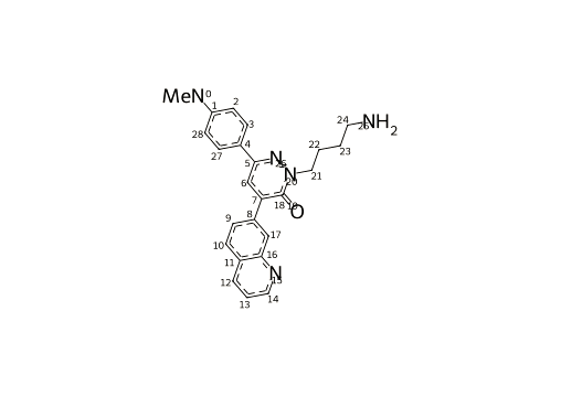 CNc1ccc(-c2cc(-c3ccc4cccnc4c3)c(=O)n(CCCCN)n2)cc1